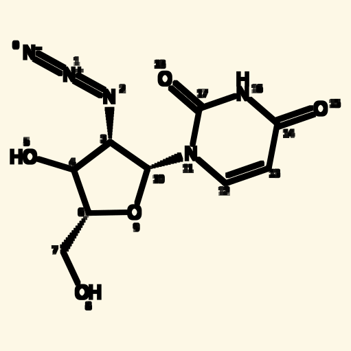 [N-]=[N+]=N[C@H]1C(O)[C@@H](CO)O[C@H]1n1ccc(=O)[nH]c1=O